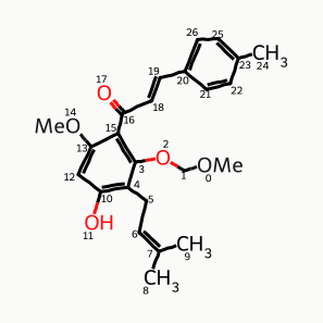 COCOc1c(CC=C(C)C)c(O)cc(OC)c1C(=O)/C=C/c1ccc(C)cc1